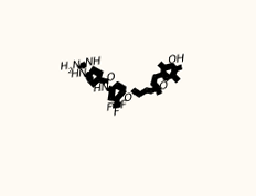 Cc1c(C)c2c(c(C)c1O)CCC(C)(CCCCOc1ccc(NC(=O)c3ccc(NC(=N)N)cc3)cc1C(F)(F)F)O2